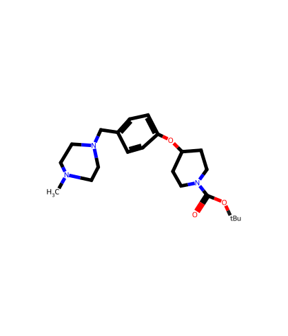 CN1CCN(Cc2ccc(OC3CCN(C(=O)OC(C)(C)C)CC3)cc2)CC1